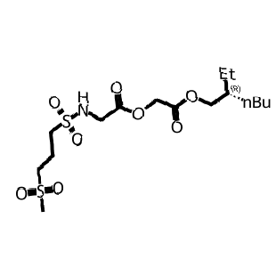 CCCC[C@@H](CC)COC(=O)COC(=O)CNS(=O)(=O)CCCS(C)(=O)=O